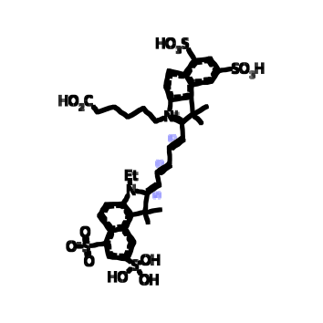 CCN1\C(=C/C=C/C=C/C2=[N+](CCCCCC(=O)O)c3ccc4c(S(=O)(=O)O)cc(S(=O)(=O)O)cc4c3C2(C)C)C(C)(C)c2c1ccc1c(S(=O)(=O)[O-])cc(S(O)(O)O)cc21